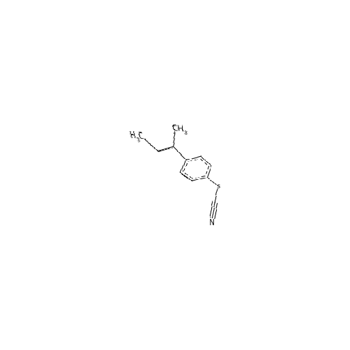 CCC(C)c1ccc(SC#N)cc1